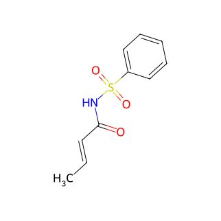 CC=CC(=O)NS(=O)(=O)c1ccccc1